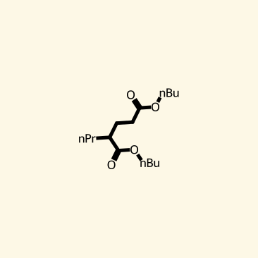 CCCCOC(=O)CCC(CCC)C(=O)OCCCC